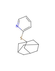 c1ccc(SC23CC4CC(CC(C4)C2)C3)nc1